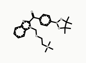 CC1(C)OB(c2ccc(C(=O)c3nc4ccccc4n3COCC[Si](C)(C)C)cc2)OC1(C)C